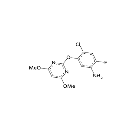 COc1cc(OC)nc(Oc2cc(N)c(F)cc2Cl)n1